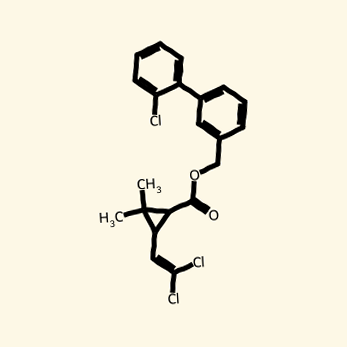 CC1(C)C(C=C(Cl)Cl)C1C(=O)OCc1cccc(-c2ccccc2Cl)c1